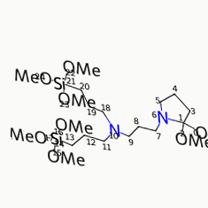 COC1(OC)CCCN1CCCN(CCC[Si](OC)(OC)OC)CCC[Si](OC)(OC)OC